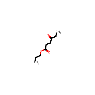 CCCOC(=O)CCC(=O)CC